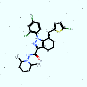 CC1CCCC(C)N1NC(=O)c1nn(-c2ccc(Cl)cc2Cl)c2c1CCC/C2=C\c1ccc(Cl)s1